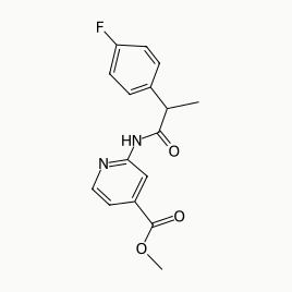 COC(=O)c1ccnc(NC(=O)C(C)c2ccc(F)cc2)c1